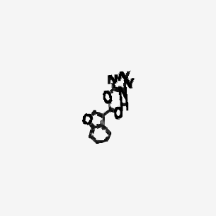 O=C(Oc1nnn[nH]1)c1coc2ccccc12